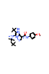 COc1ccc(NC(=O)c2cnn3c(NC(C)(C)CC(C)(C)C)c(C(C)(C)C)[nH]c23)cc1